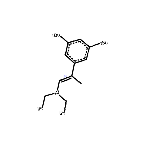 C/C(=[CH]\[Al]([CH2]C(C)C)[CH2]C(C)C)c1cc(C(C)(C)C)cc(C(C)(C)C)c1